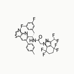 Cc1ccc(-c2cc3scnc3nc2[C@H](Cc2cc(F)cc(F)c2)NC(=O)Cn2nc(C(F)F)c3c2C(F)(F)CCC3(F)F)cc1